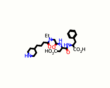 CCN(CC(=O)NC(CC(=O)O)C(=O)NC(Cc1ccccc1)C(=O)O)C(=O)CCCC1CCNCC1